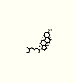 CC(CO)CCCC(C)[C@H]1CC[C@H]2[C@@H]3CC=C4C[C@@H](O)CC[C@]4(C)[C@H]3CC[C@]12C